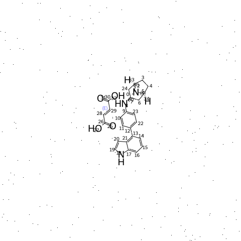 CN1[C@@H]2CC[C@H]1C[C@@H](Nc1ccc(-c3cccc4[nH]ccc34)cc1)C2.O=C(O)/C=C/C(=O)O